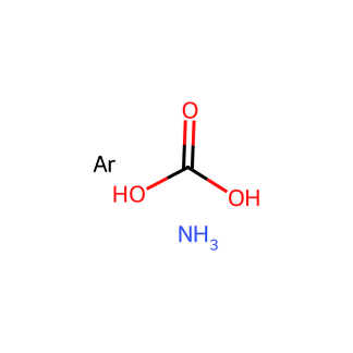 N.O=C(O)O.[Ar]